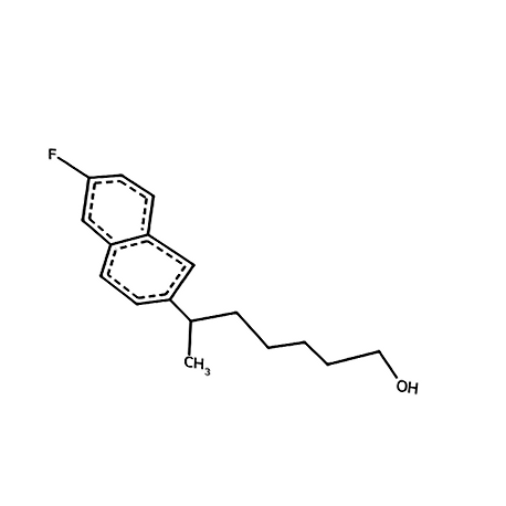 CC(CCCCCO)c1ccc2cc(F)ccc2c1